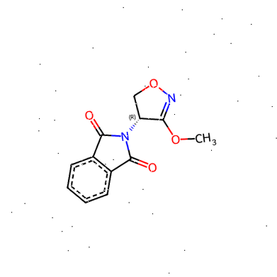 COC1=NOC[C@H]1N1C(=O)c2ccccc2C1=O